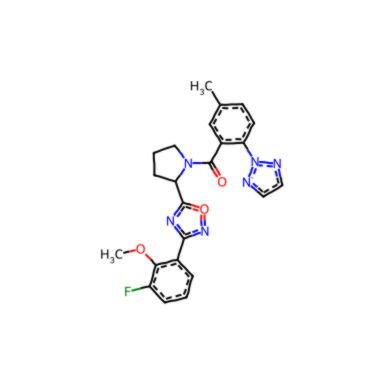 COc1c(F)cccc1-c1noc(C2CCCN2C(=O)c2cc(C)ccc2-n2nccn2)n1